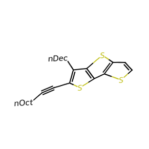 CCCCCCCCC#Cc1sc2c(sc3ccsc32)c1CCCCCCCCCC